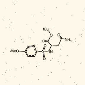 COc1ccc(S(=O)(=O)N[C@@H](CC(N)=O)C(=O)OC(C)(C)C)cc1